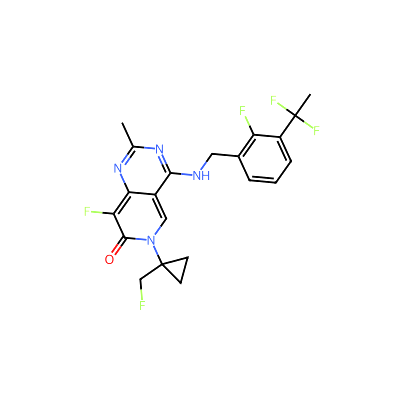 Cc1nc(NCc2cccc(C(C)(F)F)c2F)c2cn(C3(CF)CC3)c(=O)c(F)c2n1